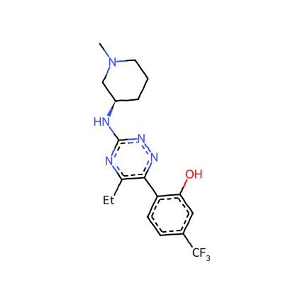 CCc1nc(N[C@@H]2CCCN(C)C2)nnc1-c1ccc(C(F)(F)F)cc1O